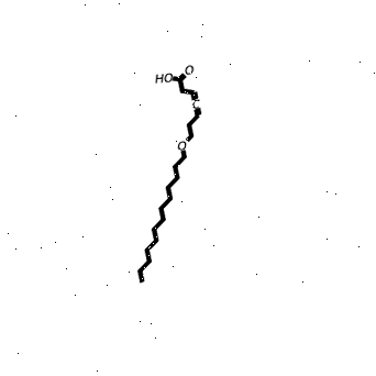 CCCCCCCCCCCCCOCCC=C=CCC(=O)O